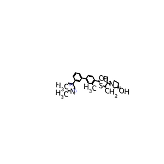 C=C(SC(=C)c1ccc(-c2cccc(C(/C=N\CC)=C/C)c2)cc1C)C(=O)N1CC[C@H](O)C1